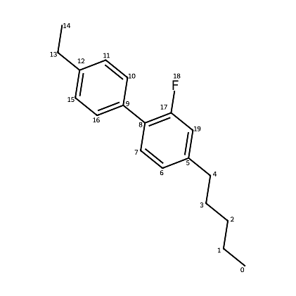 CCCCCc1ccc(-c2ccc(CC)cc2)c(F)c1